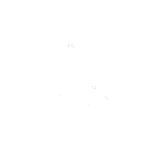 NC(=O)Nc1cc(OCc2ccccc2)cc(C(O)CNC2CCCCC2)c1